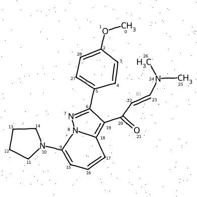 COc1ccc(-c2nn3c(N4CCCC4)cccc3c2C(=O)/C=C/N(C)C)cc1